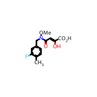 CON(Cc1ccc(C)c(F)c1)C(=O)C=C(O)C(=O)O